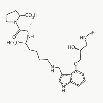 CC(C)NC[C@H](O)COc1cccc2[nH]cc(CNCCCC[C@H](N[C@@H](C)C(=O)N3CCC[C@H]3C(=O)O)C(=O)O)c12